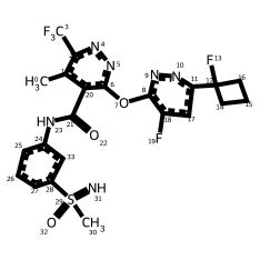 Cc1c(C(F)(F)F)nnc(Oc2nnc(C3(F)CCC3)cc2F)c1C(=O)Nc1cccc(S(C)(=N)=O)c1